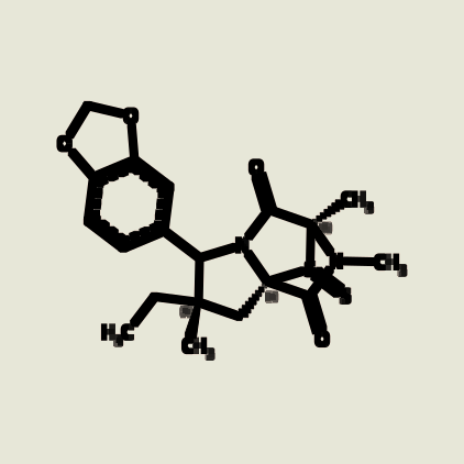 CC[C@@]1(C)C[C@]23C(=O)N(C)[C@](C)(C(=O)N2C1c1ccc2c(c1)OCO2)S3=S